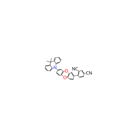 CC1(C)c2ccccc2N(c2ccc3c(c2)Oc2cc(-c4ccc(C#N)cc4C#N)ccc2O3)c2ccccc21